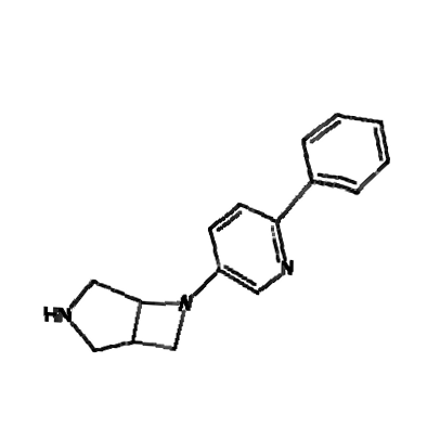 c1ccc(-c2ccc(N3CC4CNCC43)cn2)cc1